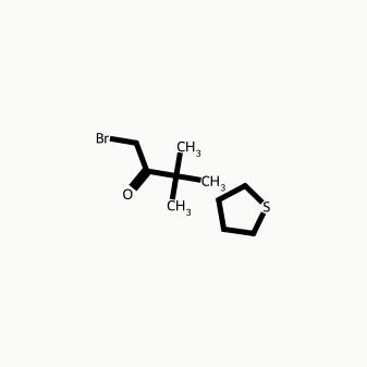 C1CCSC1.CC(C)(C)C(=O)CBr